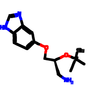 CC(C)(C)[Si](C)(C)O[C@@H](CN)COc1ccc2[nH]cnc2c1